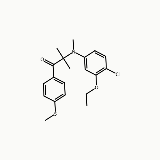 CCOc1cc(N(C)C(C)(C)C(=O)c2ccc(SC)cc2)ccc1Cl